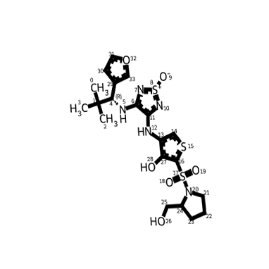 CC(C)(C)[C@@H](Nc1n[s+]([O-])nc1Nc1csc(S(=O)(=O)N2CCCC2CO)c1O)c1ccoc1